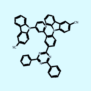 N#Cc1ccc2c(c1)c1ccccc1n2-c1ccnc(-c2cc(-c3nc(-c4ccccc4)nc(-c4ccccc4)n3)ccc2-n2c3ccccc3c3cc(C#N)ccc32)c1